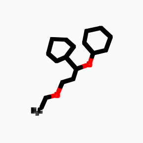 CCOCCC(OC1CCCCC1)C1CCCCC1